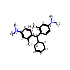 CCN(CC)c1ccc(C(c2ccc(N(CC)CC)cc2C)C2CC=CCC2)c(C)c1